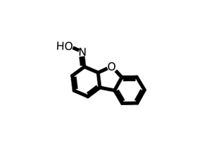 ON=C1C=CC=C2c3ccccc3OC21